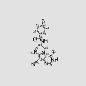 CN(C)c1c(C#N)c2nc[nH]c(=S)c2n1CCNC(=O)c1ccc(F)cc1